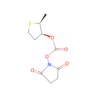 C[C@@H]1SCC[C@@H]1OC(=O)ON1C(=O)CCC1=O